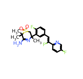 CC1(c2cc(C=C(F)c3ccc(F)cn3)ccc2F)CS(=O)(=O)C(C)(C)C(N)=N1